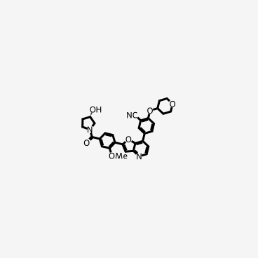 COc1cc(C(=O)N2CC[C@H](O)C2)ccc1-c1cc2nccc(-c3ccc(OC4CCOCC4)c(C#N)c3)c2o1